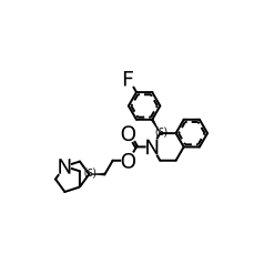 O=C(OCC[C@@H]1CN2CCC1C2)N1CCc2ccccc2[C@@H]1c1ccc(F)cc1